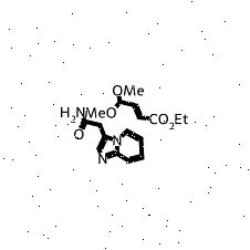 CCOC(=O)C=CC(OC)OC.NC(=O)Cc1cnc2ccccn12